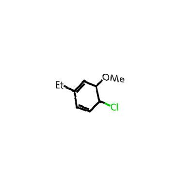 CCC1=CC(OC)C(Cl)C=C1